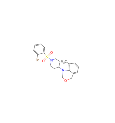 Cc1cccc2c1N(C1CCN(S(=O)(=O)c3ccccc3Br)CC1)COC2